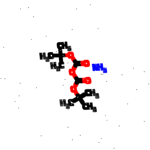 CC(C)(C)OC(=O)OC(=O)OC(C)(C)C.N